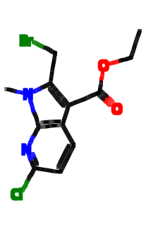 CCOC(=O)c1c(CBr)n(C)c2nc(Cl)ccc12